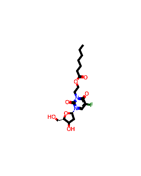 CCCCCCC(=O)OCCn1c(=O)c(F)cn([C@@H]2CC(O)[C@H](CO)O2)c1=O